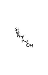 OCCCN=C=S